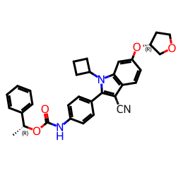 C[C@@H](OC(=O)Nc1ccc(-c2c(C#N)c3ccc(O[C@@H]4CCOC4)cc3n2C2CCC2)cc1)c1ccccc1